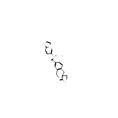 O=C(c1ccc2c(c1)CC[C@]1(CCNC1=O)C2)N(O)c1ccc2nccn2c1